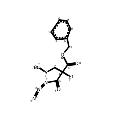 CCC(CSC(C)(C)C)(C(=O)N=[N+]=[N-])C(=O)OCc1ccccc1